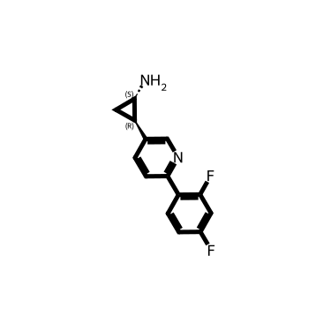 N[C@H]1C[C@@H]1c1ccc(-c2ccc(F)cc2F)nc1